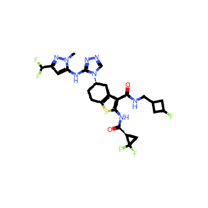 Cn1nc(C(F)F)cc1Nc1nncn1[C@H]1CCc2sc(NC(=O)[C@H]3CC3(F)F)c(C(=O)NCC3CC(F)C3)c2C1